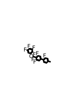 Cc1ccc(-c2cc(F)c(C(F)(F)Oc3cc(F)c(F)c(F)c3)c(F)c2)c(F)c1